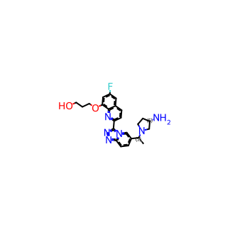 C[C@@H](c1ccc2nnc(-c3ccc4cc(F)cc(OCCCO)c4n3)n2c1)N1CC[C@H](N)C1